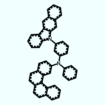 c1ccc(N(c2cccc(-n3c4ccccc4c4cc5ccccc5cc43)c2)c2ccc3ccc4ccc5ccccc5c4c3c2)cc1